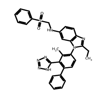 CCc1nc2ccc(NCS(=O)(=O)c3ccccc3)cc2n1-c1ccc(-c2ccccc2)c(-c2nnn[nH]2)c1C